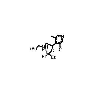 CC[Si](CC)(CC)OC(CNCC(C)(C)C)c1c(C)cncc1Cl